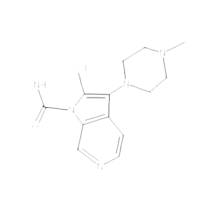 CN1CCN(c2c(O)n(C(N)=O)c3cnccc23)CC1